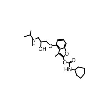 Cc1c(OC(=O)NC2CCCCC2)oc2cccc(OCC(O)CNC(C)C)c12